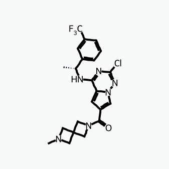 C[C@@H](Nc1nc(Cl)nn2cc(C(=O)N3CC4(CN(C)C4)C3)cc12)c1cccc(C(F)(F)F)c1